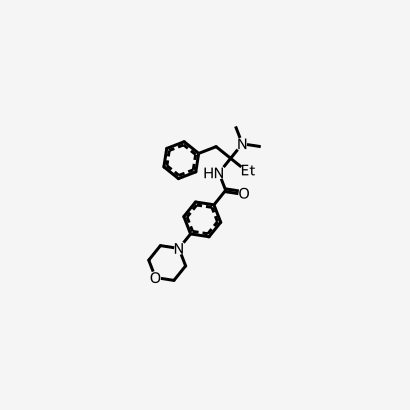 CCC(Cc1ccccc1)(NC(=O)c1ccc(N2CCOCC2)cc1)N(C)C